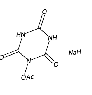 CC(=O)On1c(=O)[nH]c(=O)[nH]c1=O.[NaH]